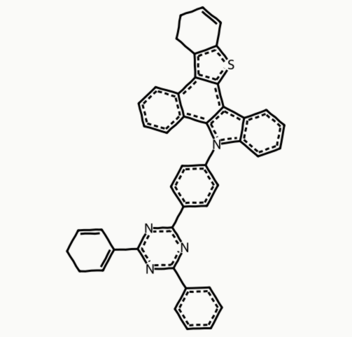 C1=CC(c2nc(-c3ccccc3)nc(-c3ccc(-n4c5ccccc5c5c6sc7c(c6c6ccccc6c54)CCC=C7)cc3)n2)=CCC1